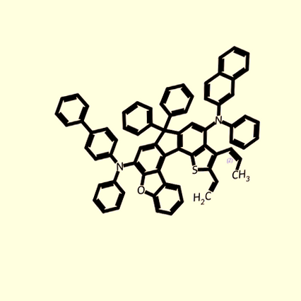 C=Cc1sc2c3c(cc(N(c4ccccc4)c4ccc5ccccc5c4)c2c1/C=C\C)C(c1ccccc1)(c1ccccc1)c1cc(N(c2ccccc2)c2ccc(-c4ccccc4)cc2)c2oc4ccccc4c2c1-3